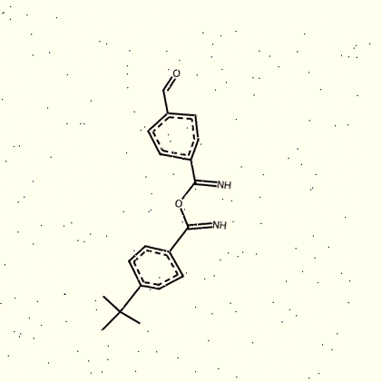 CC(C)(C)c1ccc(C(=N)OC(=N)c2ccc(C=O)cc2)cc1